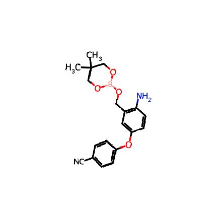 CC1(C)COB(OCc2cc(Oc3ccc(C#N)cc3)ccc2N)OC1